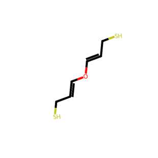 SCC=COC=CCS